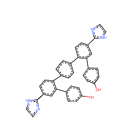 Oc1ccc(-c2cc(-c3ncc[nH]3)ccc2-c2ccc(-c3ccc(-c4ncc[nH]4)cc3-c3ccc(O)cc3)cc2)cc1